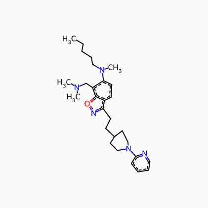 CCCCCN(C)c1ccc2c(CCC3CCN(c4ccccn4)CC3)noc2c1CN(C)C